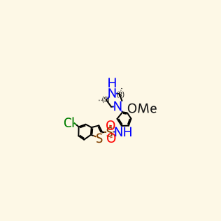 COc1ccc(NS(=O)(=O)c2cc3cc(Cl)ccc3s2)cc1N1C[C@@H](C)N[C@@H](C)C1